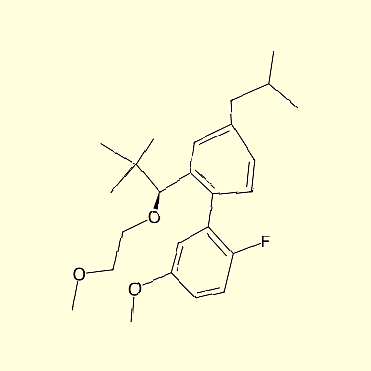 COCCO[C@H](c1cc(CC(C)C)ccc1-c1cc(OC)ccc1F)C(C)(C)C